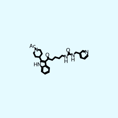 CC(=O)N1CCC(c2[nH]c3ccccc3c2C(=O)CCCCNC(=O)NCc2cccnc2)CC1